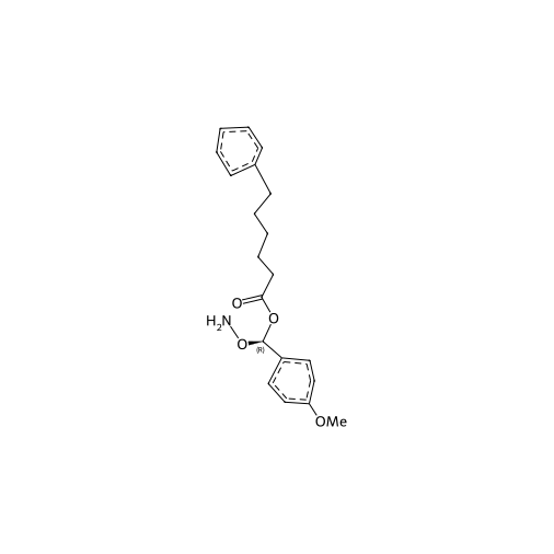 COc1ccc([C@@H](ON)OC(=O)CCCCCc2ccccc2)cc1